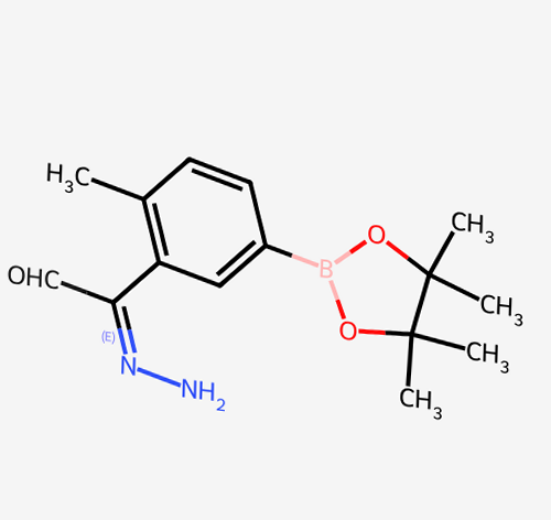 Cc1ccc(B2OC(C)(C)C(C)(C)O2)cc1/C(C=O)=N\N